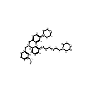 COc1cccc(CN(Cc2ccc(N3CCOCC3)cc2)c2cccc(OCCOCCN3CCOCC3)c2)c1